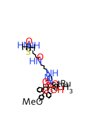 COc1ccc(C(OC[C@H]2O[C@@H](n3ccc(NCCCCCCNC(=O)CCCC[C@@H]4SC[C@@H]5NC(=O)N[C@@H]54)nc3=O)[C@H](O[Si](C)(C)C(C)(C)C)[C@@H]2O)(c2ccccc2)c2ccccc2)cc1